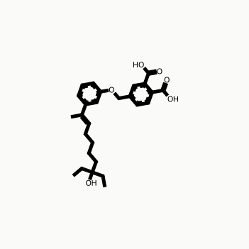 CCC(O)(CC)CCCCC=C(C)c1cccc(OCc2ccc(C(=O)O)c(C(=O)O)c2)c1